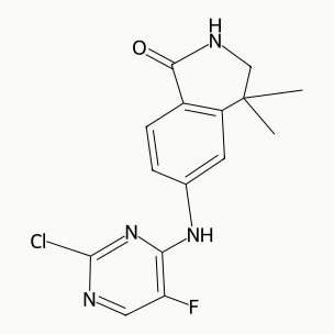 CC1(C)CNC(=O)c2ccc(Nc3nc(Cl)ncc3F)cc21